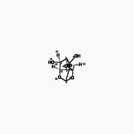 OC1C2OC3OC([C@H]2O)[C@H](O)[C@@H]1O3